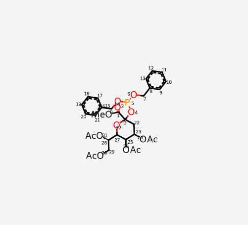 COC(=O)C1(OP(OCc2ccccc2)OCc2ccccc2)CC(OC(C)=O)C(OC(C)=O)C([C@@H](COC(C)=O)OC(C)=O)O1